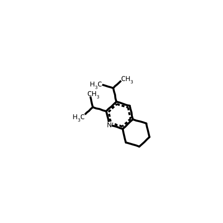 CC(C)c1cc2c(nc1C(C)C)CCCC2